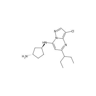 CCC(CC)c1cc(N[C@H]2CC[C@H](N)C2)n2ncc(Cl)c2n1